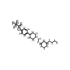 CCCC[C@H]1CCC[C@H](CC[C@H]2CC[C@H](c3ccc(OC(F)C(F)(F)F)cc3)CC2)C1